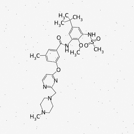 COc1c(NC(=O)c2cc(C)cc(Oc3ccnc(CN4CCN(C)CC4)n3)c2)cc(C(C)(C)C)cc1NS(C)(=O)=O